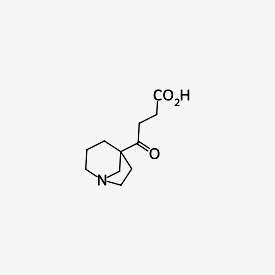 O=C(O)CCC(=O)C12CCCN(CC1)C2